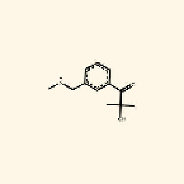 CNCc1cccc(C(=O)C(C)(C)O)c1